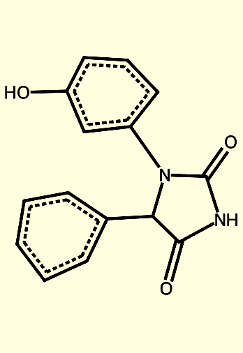 O=C1NC(=O)N(c2cccc(O)c2)C1c1ccccc1